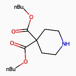 CCCCOC(=O)C1(C(=O)OCCCC)CCNCC1